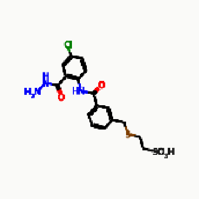 NNC(=O)c1cc(Cl)ccc1NC(=O)c1cccc(CSCCS(=O)(=O)O)c1